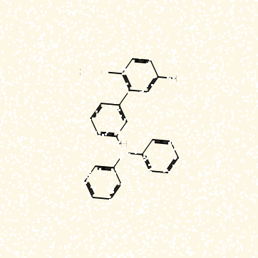 O=C(O)c1ccc(I)cc1-c1cccc([SH](c2ccccc2)c2ccccc2)c1